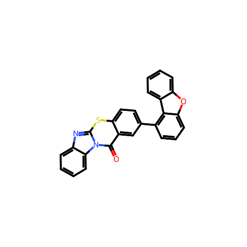 O=c1c2cc(-c3cccc4oc5ccccc5c34)ccc2sc2nc3ccccc3n12